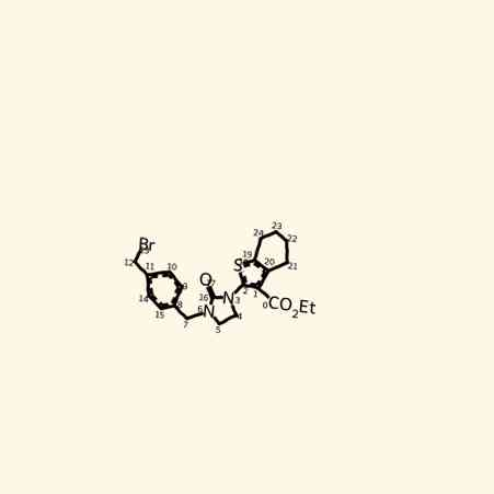 CCOC(=O)c1c(N2CCN(Cc3ccc(CBr)cc3)C2=O)sc2c1CCCC2